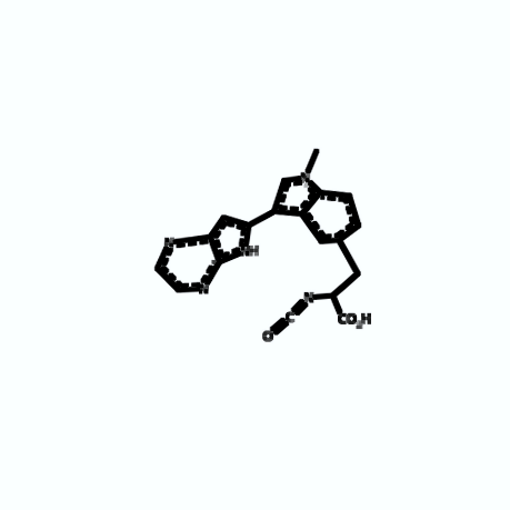 Cn1cc(-c2cc3nccnc3[nH]2)c2cc(CC(N=C=O)C(=O)O)ccc21